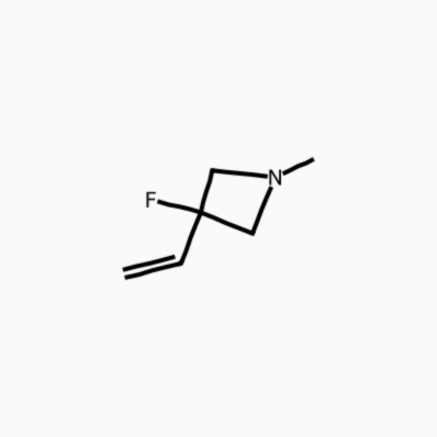 C=CC1(F)CN(C)C1